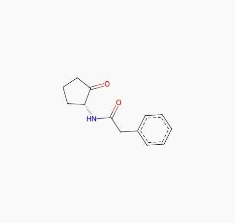 O=C(Cc1ccccc1)N[C@@H]1CCCC1=O